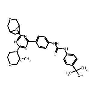 C[C@@H]1COCCN1c1nc(-c2ccc(NC(=O)Nc3ccc(C(C)(C)O)cc3)cc2)nc(N2C3CCC2COC3)n1